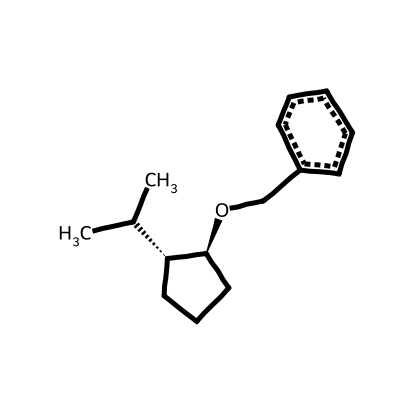 CC(C)[C@H]1CCC[C@@H]1OCc1ccccc1